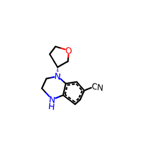 N#Cc1ccc2c(c1)N([C@@H]1CCOC1)CCN2